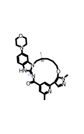 Cc1cc2cc(n1)-c1cnn(C)c1OCCC[C@@H](C)CN1/C(=N/C2=O)Nc2ccc(N3CCOCC3)cc21